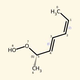 C/C=C\C=C\[C@H](C)OO